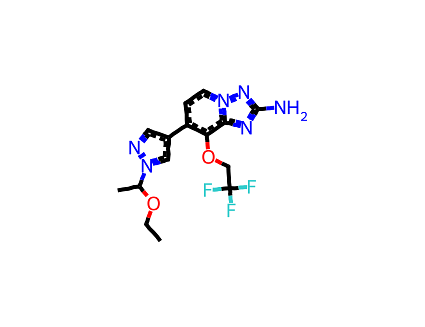 CCOC(C)n1cc(-c2ccn3nc(N)nc3c2OCC(F)(F)F)cn1